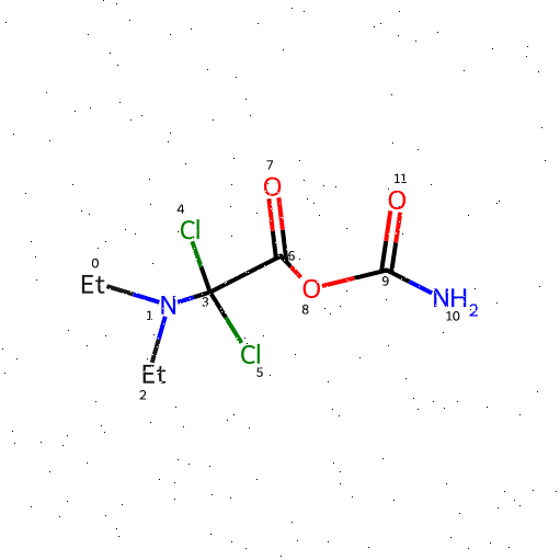 CCN(CC)C(Cl)(Cl)C(=O)OC(N)=O